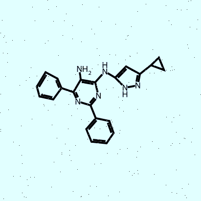 Nc1c(Nc2cc(C3CC3)n[nH]2)nc(-c2ccccc2)nc1-c1ccccc1